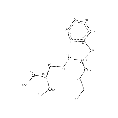 CCCO[SiH](Cc1ccccc1)OCCC(OC)OC